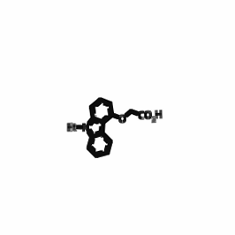 CCn1c2ccccc2c2c(OCC(=O)O)cccc21